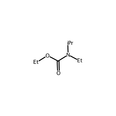 CCOC(=O)N(CC)C(C)C